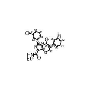 CCNC(=O)c1nn(-c2cccc(Cl)c2)c2c1CCN(c1cccc(I)c1)C2=O